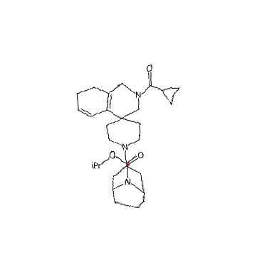 CC(C)OC(=O)N1C2CCC1CC(N1CCC3(CC1)CN(C(=O)C1CC1)CC1=C3C=CCC1)C2